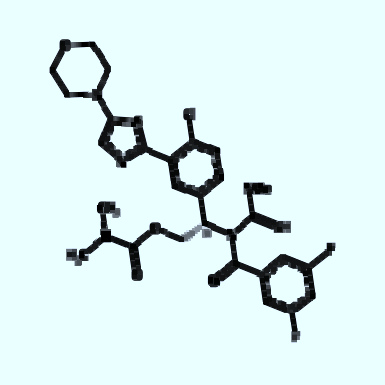 CNC(=N)N(C(=O)c1cc(F)cc(F)c1)[C@H](COC(=O)N(C)C)c1ccc(Cl)c(-c2ncc(N3CCOCC3)s2)c1